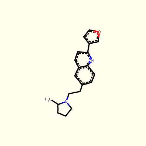 CC1CCCN1CCc1ccc2nc(-c3ccoc3)ccc2c1